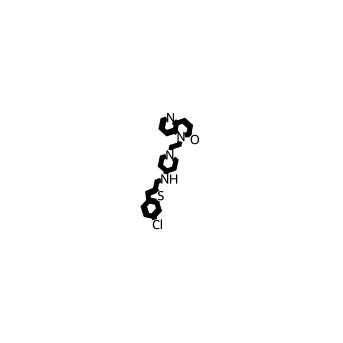 O=c1ccc2ncccc2n1CCN1CCC(NCc2cc3ccc(Cl)cc3s2)CC1